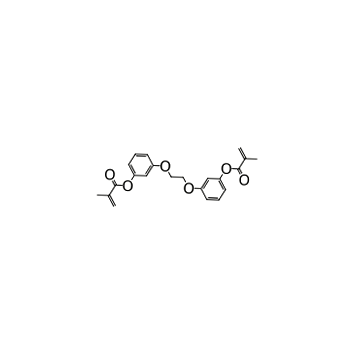 C=C(C)C(=O)Oc1cccc(OCCOc2cccc(OC(=O)C(=C)C)c2)c1